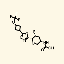 O=C(O)N[C@H]1CO[C@H](c2nnc(C3CC(OC(F)(F)F)C3)o2)[C@@H](F)C1